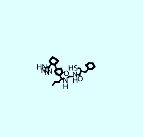 CCCC(NC(=O)CNC(=O)C(CS)Cc1ccccc1)c1ccc(-c2ccccc2-c2nnn[nH]2)cc1